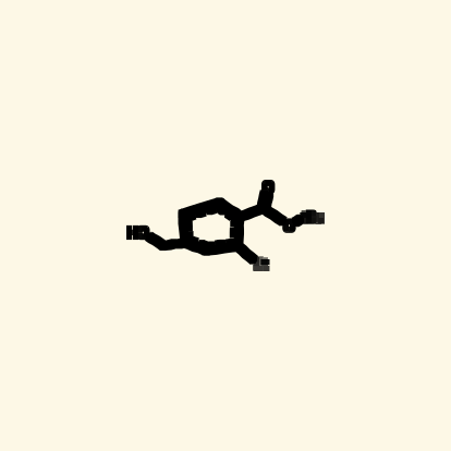 CCc1cc(CO)ccc1C(=O)OC(C)(C)C